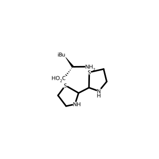 C1CSC(C2NCCS2)N1.CC[C@H](C)[C@H](N)C(=O)O